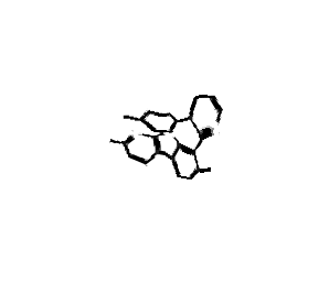 Cc1ccc(-c2cccnc2-c2c(C)ccc3c2oc2nc(C)ccc23)cc1